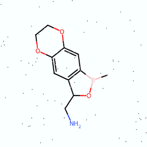 CB1OC(CN)c2cc3c(cc21)OCCO3